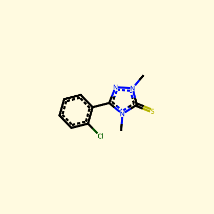 Cn1nc(-c2ccccc2Cl)n(C)c1=S